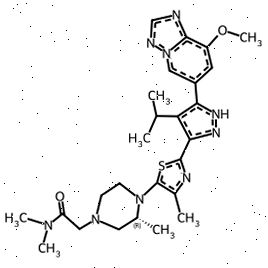 COc1cc(-c2[nH]nc(-c3nc(C)c(N4CCN(CC(=O)N(C)C)C[C@H]4C)s3)c2C(C)C)cn2ncnc12